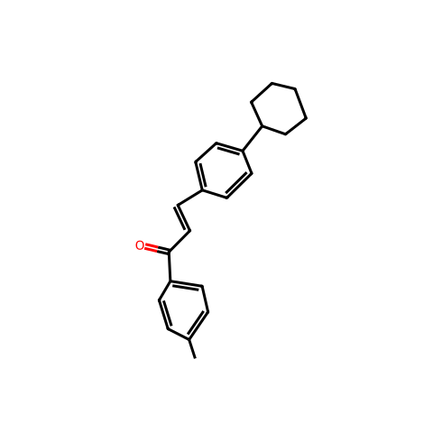 Cc1ccc(C(=O)C=Cc2ccc(C3CCCCC3)cc2)cc1